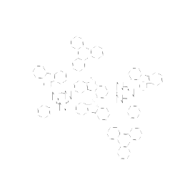 c1ccc(-c2nc(-c3ccc4c(c3)sc3c(-c5cc6c7ccccc7c7ccccc7c6cc5-c5cc(-c6nc(-c7ccccc7)nc(-c7ccc8c(c7)sc7ccc(-c9ccc%10c%11ccccc%11c%11ccccc%11c%10c9)cc78)n6)c6oc7ccccc7c6c5)cccc34)nc(-c3cccc4c3oc3ccccc34)n2)cc1